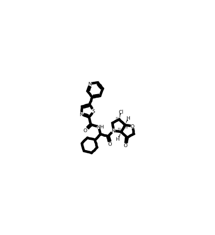 O=C(NC(C(=O)N1C[C@H](Cl)[C@H]2OCC(=O)[C@H]21)C1CCCCC1)c1ncc(-c2cccnc2)s1